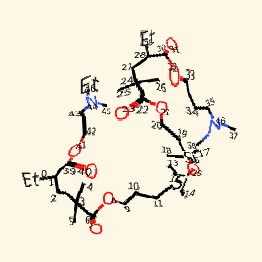 CCC(CC(C)(C)C(=O)OCCC[Si](C)(C)O[Si](C)(C)CCOC(=O)C(C)(C)CC(CC)C(=O)OCCCN(C)C)C(=O)OCCN(C)CC